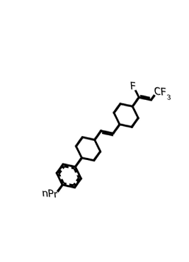 CCCc1ccc(C2CCC(/C=C/C3CCC(/C(F)=C/C(F)(F)F)CC3)CC2)cc1